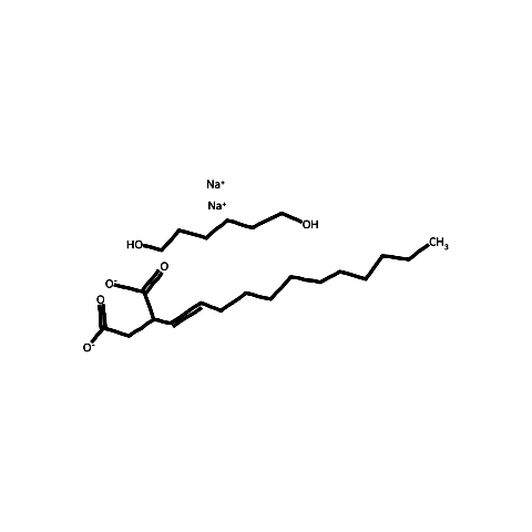 CCCCCCCCCCC=CC(CC(=O)[O-])C(=O)[O-].OCCCCCCO.[Na+].[Na+]